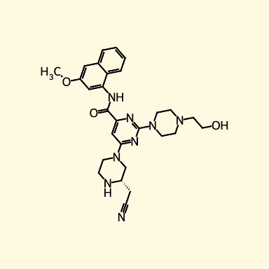 COc1cc(NC(=O)c2cc(N3CCN[C@@H](CC#N)C3)nc(N3CCN(CCO)CC3)n2)c2ccccc2c1